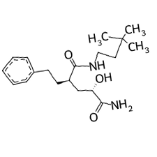 CC(C)(C)CCNC(=O)[C@H](CCc1ccccc1)C[C@H](O)C(N)=O